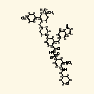 CC1(C)CCC(CN2CCN(c3ccc(C(=O)NS(=O)(=O)c4ccc(NCC5CCOCC5)c([N+](=O)[O-])c4)c(Cc4cnc5[nH]ccc5c4)c3)CC2)=C(c2ccc(Cl)cc2)C1